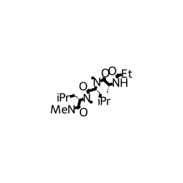 CCC(=O)N[C@H](C)C(=O)N(C)[C@H](CC(C)C)C(=O)N(C)[C@@H](CC(C)C)C(=O)NC